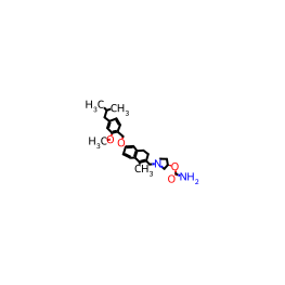 COc1cc(CC(C)C)ccc1COc1ccc2c(c1)CCC(CN1CC[C@@H](OC(N)=O)C1)=C2C